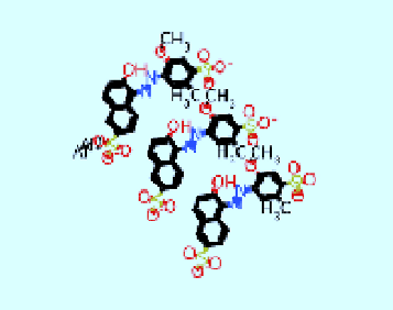 COc1cc(S(=O)(=O)[O-])c(C)cc1N=Nc1c(O)ccc2cc(S(=O)(=O)[O-])ccc12.COc1cc(S(=O)(=O)[O-])c(C)cc1N=Nc1c(O)ccc2cc(S(=O)(=O)[O-])ccc12.COc1cc(S(=O)(=O)[O-])c(C)cc1N=Nc1c(O)ccc2cc(S(=O)(=O)[O-])ccc12.[Al+3].[Al+3]